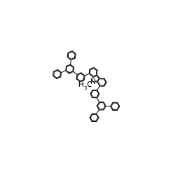 Cn1c2c(-c3cccc(-c4cc(-c5ccccc5)cc(-c5ccccc5)c4)c3)cccc2c2cccc(-c3cccc(-c4cc(-c5ccccc5)cc(-c5ccccc5)c4)c3)c21